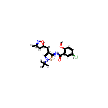 COc1ccc(Cl)cc1C(=O)/N=c1\sn(C(C)(C)C)cc1CC1CC(C)=NO1